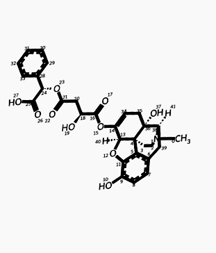 CN1CC[C@]23c4c5ccc(O)c4O[C@H]2C(OC(=O)[C@@H](O)CC(=O)O[C@H](C(=O)O)c2ccccc2)=CC[C@@]3(O)[C@H]1C5